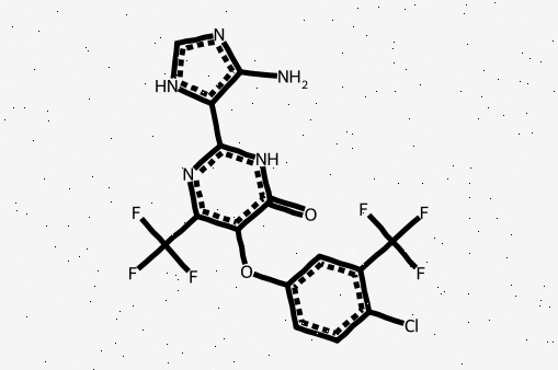 Nc1nc[nH]c1-c1nc(C(F)(F)F)c(Oc2ccc(Cl)c(C(F)(F)F)c2)c(=O)[nH]1